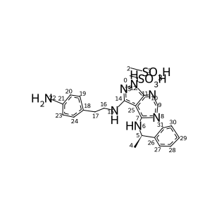 CS(=O)(=O)O.CS(=O)(=O)O.C[C@@H](Nc1ncnc2[nH]nc(NCCc3ccc(N)cc3)c12)c1ccccc1